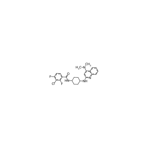 CN(C)c1cc(NC2CCC(NC(=O)c3ccc(F)c(Cl)c3F)CC2)nc2ccccc12